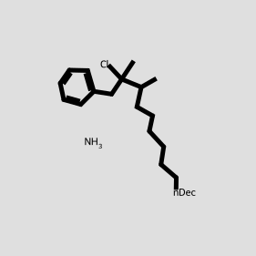 CCCCCCCCCCCCCCCCC(C)C(C)(Cl)Cc1ccccc1.N